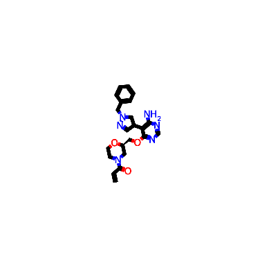 C=CC(=O)N1CCO[C@@H](COc2ncnc(N)c2C2C=NN(Cc3ccccc3)C2)C1